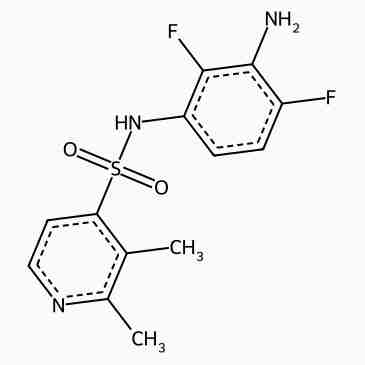 Cc1nccc(S(=O)(=O)Nc2ccc(F)c(N)c2F)c1C